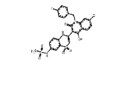 CS(=O)(=O)Nc1ccc2c(c1)S(=O)(=O)C=C(c1c(O)c3ccc(Cl)cc3n(Cc3ccc(F)cc3)c1=O)N2